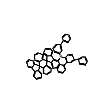 c1ccc(-c2cccc(N(c3ccc(-c4ccccc4)cc3-c3ccccc3)c3cccc4c3-c3ccccc3C43c4ccccc4C4(c5ccccc5-c5ccccc54)c4ccccc43)c2)cc1